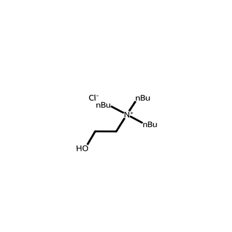 CCCC[N+](CCO)(CCCC)CCCC.[Cl-]